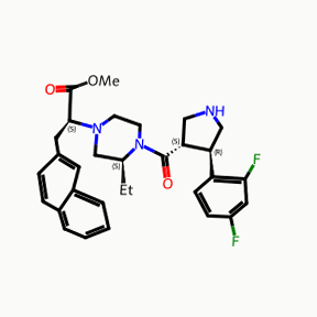 CC[C@H]1CN([C@@H](Cc2ccc3ccccc3c2)C(=O)OC)CCN1C(=O)[C@@H]1CNC[C@H]1c1ccc(F)cc1F